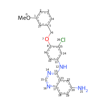 COc1cccc(COc2ccc(Nc3ncnc4ccc(N)cc34)cc2Cl)c1